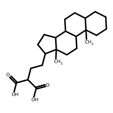 CC12CCCCC1CCC1C2CCC2(C)C(CCC(C(=O)O)C(=O)O)CCC12